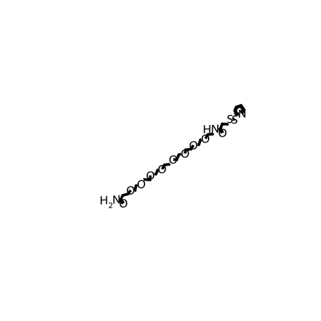 NC(=O)CCOCCOCCOCCOCCOCCOCCOCCOCCNC(=O)CCSSc1ccccn1